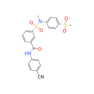 CN(c1ccc(S(C)(=O)=O)cc1)S(=O)(=O)c1cccc(C(=O)Nc2ccc(C#N)cc2)c1